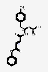 Cc1ccc(C[C@H](NC(=O)/C=C/C(=O)Nc2ccccc2)OB(O)O)cc1